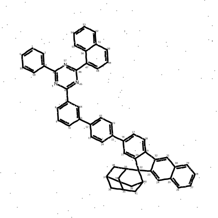 c1ccc(-c2nc(-c3cccc(-c4ccc(-c5ccc6c(c5)C5(c7cc8ccccc8cc7-6)C6CC7CC(C6)CC5C7)cc4)c3)nc(-c3cccc4ccccc34)n2)cc1